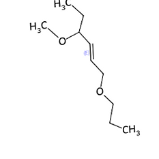 CCCOC/C=C/C(CC)OC